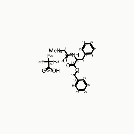 CNCC(=O)NC(Cc1ccccc1)C(=O)OCc1ccccc1.O=C(O)C(F)(F)F